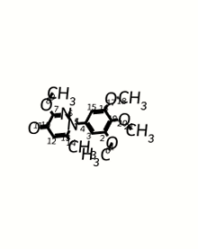 COc1cc(-n2nc(OC)c(=O)cc2C)cc(OC)c1OC